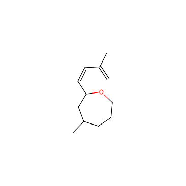 C=C(C)/C=C\C1CC(C)CCCO1